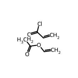 C=CC(=C)Cl.C=COC(C)=O